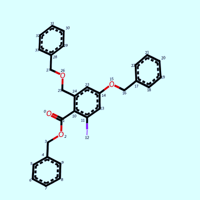 O=C(OCc1ccccc1)c1c(I)cc(OCc2ccccc2)cc1COCc1ccccc1